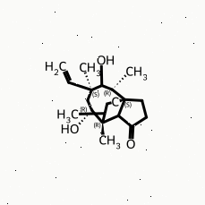 C=C[C@]1(C)C[C@@H](O)[C@]2(C)C(C)CC[C@]3(CCC(=O)C32)[C@@H](C)C1O